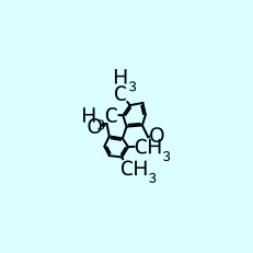 Cc1ccc(C=O)c(-c2c(C=O)ccc(C)c2C)c1C